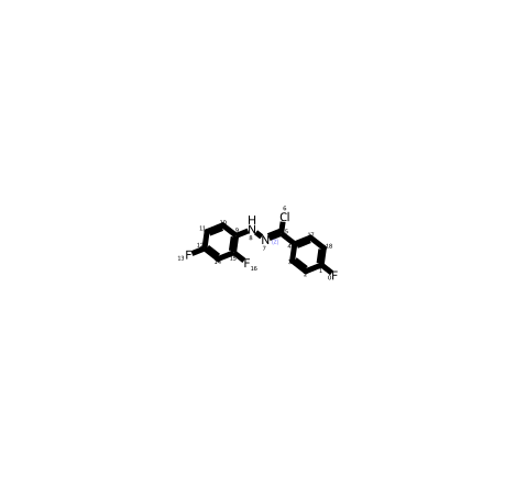 Fc1ccc(/C(Cl)=N/Nc2ccc(F)cc2F)cc1